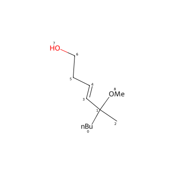 CCCCC(C)(C=CCCO)OC